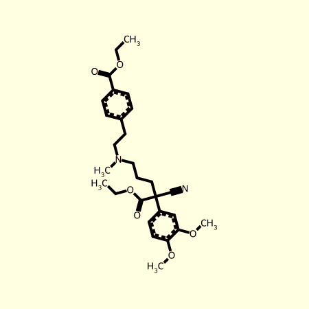 CCOC(=O)c1ccc(CCN(C)CCCC(C#N)(C(=O)OCC)c2ccc(OC)c(OC)c2)cc1